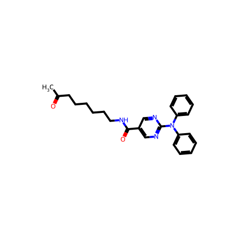 CC(=O)CCCCCCNC(=O)c1cnc(N(c2ccccc2)c2ccccc2)nc1